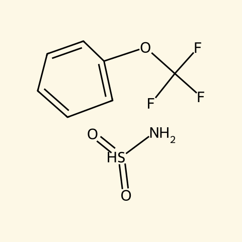 FC(F)(F)Oc1ccccc1.N[SH](=O)=O